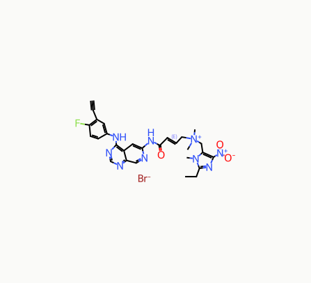 C#Cc1cc(Nc2ncnc3cnc(NC(=O)/C=C/C[N+](C)(C)Cc4c([N+](=O)[O-])nc(CC)n4C)cc23)ccc1F.[Br-]